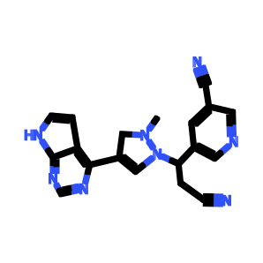 CN1CC(c2ncnc3[nH]ccc23)=CN1C(CC#N)c1cncc(C#N)c1